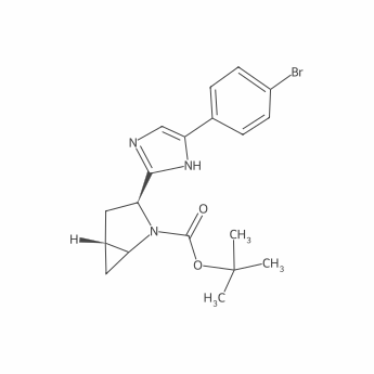 CC(C)(C)OC(=O)N1C2C[C@@H]2C[C@H]1c1ncc(-c2ccc(Br)cc2)[nH]1